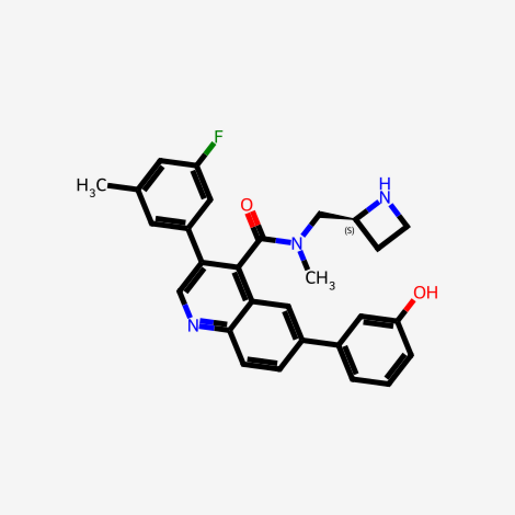 Cc1cc(F)cc(-c2cnc3ccc(-c4cccc(O)c4)cc3c2C(=O)N(C)C[C@@H]2CCN2)c1